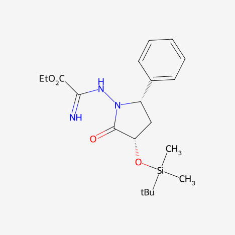 CCOC(=O)C(=N)NN1C(=O)[C@@H](O[Si](C)(C)C(C)(C)C)C[C@H]1c1ccccc1